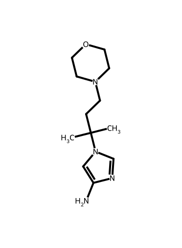 CC(C)(CCN1CCOCC1)n1cnc(N)c1